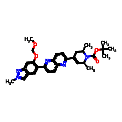 COCOc1cc2nn(C)cc2cc1-c1ccc2nc(C3=C[C@H](C)N(C(=O)OC(C)(C)C)[C@H](C)C3)ccc2n1